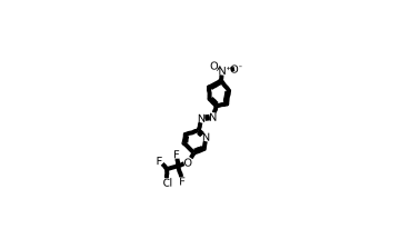 O=[N+]([O-])c1ccc(/N=N/c2ccc(OC(F)(F)C(F)Cl)cn2)cc1